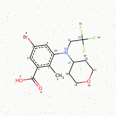 Cc1c(C(=O)O)cc(Br)cc1N(CC(F)(F)F)C1CCOCC1